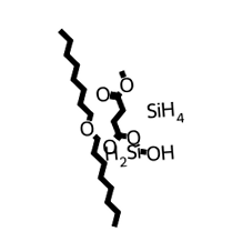 CCCCCCCCOCCCCCCCC.COC(=O)CCC(=O)O[SiH2]O.[SiH4]